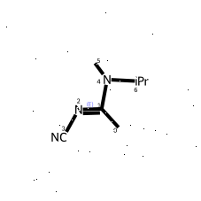 C/C(=N\C#N)N(C)C(C)C